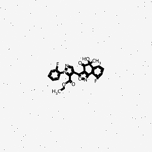 CCOC(=O)c1c(-c2onc3c2C(=O)C(C)(O)c2cccc(F)c2-3)cnn1-c1ccccc1F